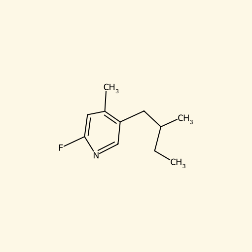 CCC(C)Cc1cnc(F)cc1C